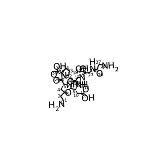 NCCCC[C@H](NC(=O)[C@H](CC(=O)O)NC(=O)[C@H](CO)NC(=O)CNC(=O)CN)C(=O)N1CCC[C@H]1C(=O)O